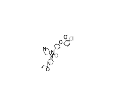 C=CC(=O)N1CC[C@@H](n2c(=O)n(-c3ccc(Oc4cccc(Cl)c4OC)cc3)c3cnccc32)C1